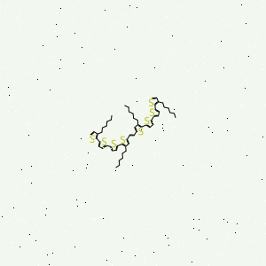 CCCCCCc1ccsc1-c1ccc(-c2ccc(-c3sc(/C=C/c4cc(CCCCCC)c(-c5ccc(-c6ccc(-c7sccc7CCCCCC)s6)s5)s4)cc3CCCCCC)s2)s1